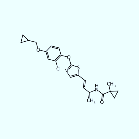 C[C@@H](/C=C/c1cnc(Oc2ccc(OCC3CC3)cc2Cl)s1)NC(=O)C1(C)CC1